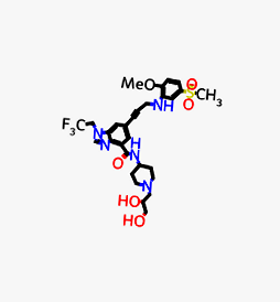 COc1ccc(S(C)(=O)=O)cc1NCC#Cc1cc(C(=O)NC2CCN(CC(O)CO)CC2)c2ncn(CC(F)(F)F)c2c1